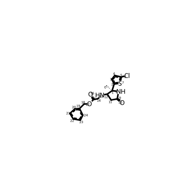 C[C@]1(c2ccc(Cl)s2)NC(=O)CC1NCC(=O)OCc1ccccc1